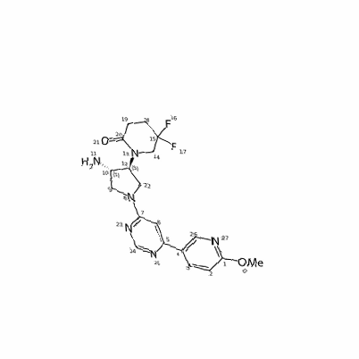 COc1ccc(-c2cc(N3C[C@H](N)[C@@H](N4CC(F)(F)CCC4=O)C3)ncn2)cn1